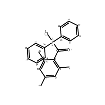 Cc1cc(C)c(C(=O)[PH](Cl)(c2ccccc2)c2ccccc2)c(C)c1